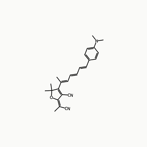 C\C(=C/C=C/C=C/c1ccc(N(C)C)cc1)C1=C(C#N)/C(=C(/C)C#N)OC1(C)C